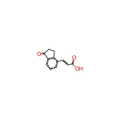 O=C(O)/C=C/c1cccc2c1CCC2=O